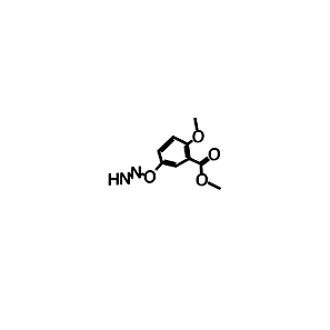 COC(=O)c1cc(ON=N)ccc1OC